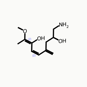 C=C(/C=C\C(O)=C(/C)OC)CC(O)CN